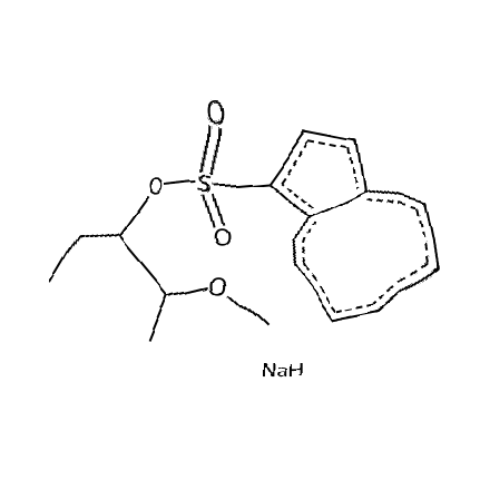 CCC(OS(=O)(=O)c1ccc2cccccc1-2)C(C)OC.[NaH]